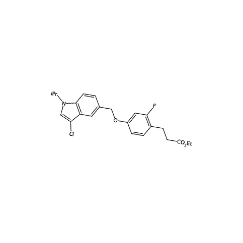 CCOC(=O)CCc1ccc(OCc2ccc3c(c2)c(Cl)cn3C(C)C)cc1F